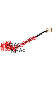 CC(=O)NC1CC(OC2OC(CO)C(O)C(O)C2O)C(COC(C)=O)OC1OCCOCCOCCOCCOCCOCCOCCCCCCCCCCS